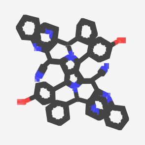 N#C/C(c1cnc2ccccc2n1)=c1\c2c(-c3ccc(O)cc3)n(B(c3ccccc3)c3ccccc3)/c(=C(/C#N)c3cnc4ccccc4n3)c2c(-c2ccc(O)cc2)n1B(c1ccccc1)c1ccccc1